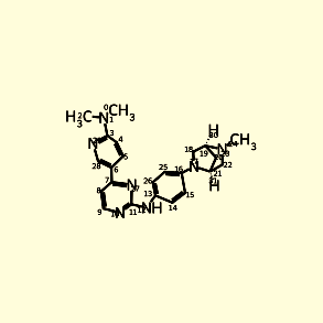 CN(C)c1ccc(-c2ccnc(Nc3ccc(N4C[C@@H]5C[C@H]4CN5C)cc3)n2)cn1